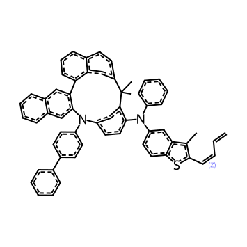 C=C/C=C\c1sc2ccc(N(c3ccccc3)c3ccc4cc3C(C)(C)c3ccc5cccc(c5c3)-c3cc5ccccc5cc3N4c3ccc(-c4ccccc4)cc3)cc2c1C